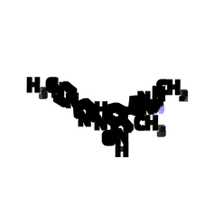 C=N/C=C\n1ncc(-c2ccc(Nc3ccc(N4CCN(C)CC4)cn3)c3c2CNC3=O)c1C